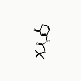 CC(C)(C)OC(=O)NC1=CC(=S)CC=C1